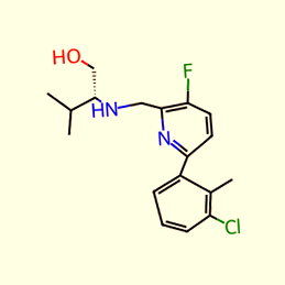 Cc1c(Cl)cccc1-c1ccc(F)c(CN[C@@H](CO)C(C)C)n1